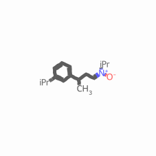 CC(C)c1cccc(C(C)C/C=[N+](/[O-])C(C)C)c1